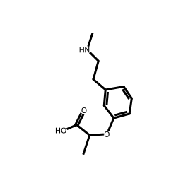 CNCCc1cccc(OC(C)C(=O)O)c1